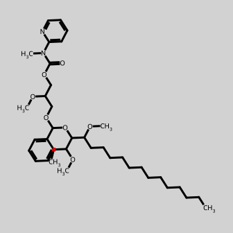 CCCCCCCCCCCCCC(OC)C(OC(OCC(COC(=O)N(C)c1ccccn1)OC)c1ccccc1)C(CC)OC